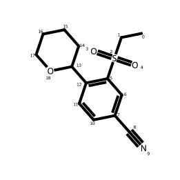 CCS(=O)(=O)c1cc(C#N)ccc1C1CCCCO1